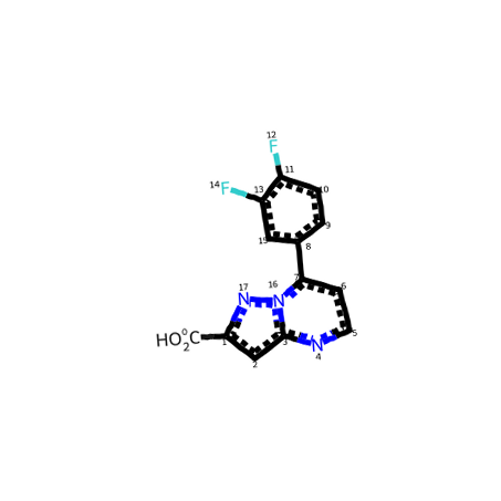 O=C(O)c1cc2nccc(-c3ccc(F)c(F)c3)n2n1